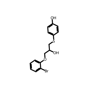 Oc1ccc(SCC(O)COc2ccccc2Br)cc1